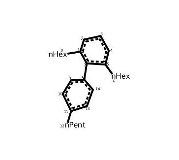 CCCCCCc1[c]ccc(CCCCCC)c1-c1ccc(CCCCC)cc1